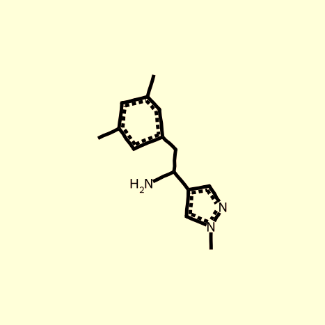 Cc1cc(C)cc(CC(N)c2cnn(C)c2)c1